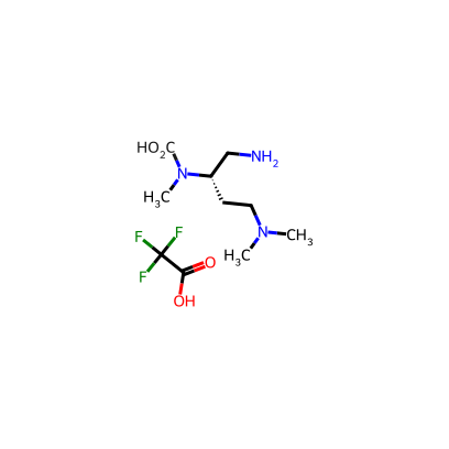 CN(C)CC[C@@H](CN)N(C)C(=O)O.O=C(O)C(F)(F)F